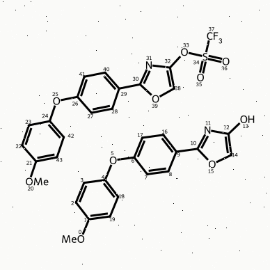 COc1ccc(Oc2ccc(-c3nc(O)co3)cc2)cc1.COc1ccc(Oc2ccc(-c3nc(OS(=O)(=O)C(F)(F)F)co3)cc2)cc1